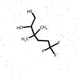 CC(C)(CCC(F)(F)F)C(O)CS